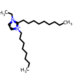 CCCCCCCCCc1n(CC)cc[n+]1CCCCCCCC